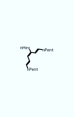 CCCCCC=CC=C(C=CCCCCC)CCCCCC